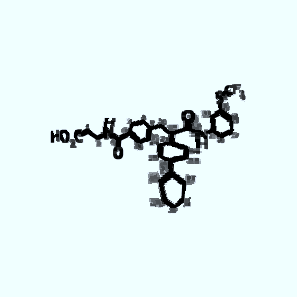 O=C(O)CCNC(=O)c1ccc(CC(C(=O)Nc2cccc(SC(F)(F)F)c2)c2ccc(C3CCCCC3)cc2)cc1